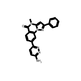 Cn1c(=O)c2ccc(-c3ccc(N)nn3)cc2n2nc(-c3ccccc3)cc12